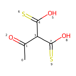 CC(=O)C(C(O)=S)C(O)=S